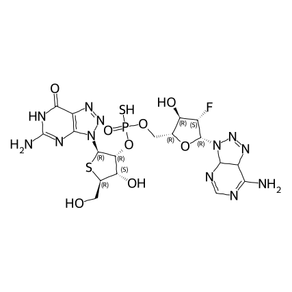 NC1=NC=NC2C1N=NN2[C@@H]1O[C@H](COP(=O)(S)O[C@@H]2[C@H](O)[C@@H](CO)S[C@H]2n2nnc3c(=O)[nH]c(N)nc32)[C@@H](O)[C@@H]1F